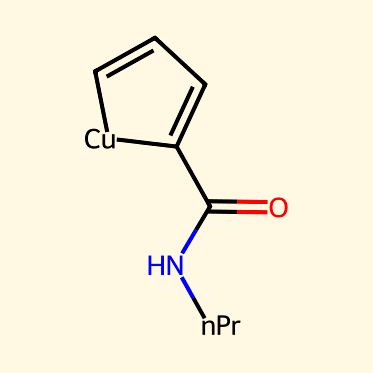 [CH2]CCNC(=O)[C]1=CC=[CH][Cu]1